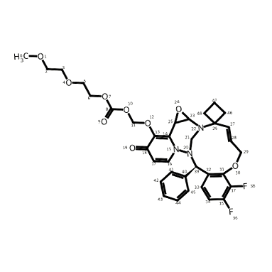 COCCOCCOC(=O)OCOc1c2n(ccc1=O)N1CN(C3OC23)C2(/C=C/COc3c(ccc(F)c3F)[C@H]1c1ccccc1)CCC2